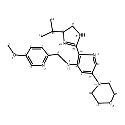 COc1ccc(CNc2cc(N3CCOCC3)cnc2C2=NC(C(C)C)CN2)nc1